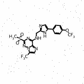 CS(=O)(=O)c1nc(NCc2ncc(-c3ccc(OC(F)(F)F)cc3)[nH]2)c2ncc(C(F)(F)F)n2n1